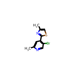 Cc1cc(-c2nc(C)cs2)c(Br)cn1